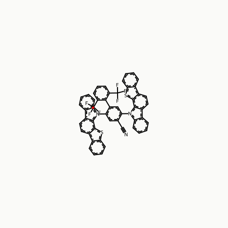 N#Cc1cc(-n2c3ccccc3c3ccc4c5ccccc5sc4c32)c(-c2c(C(F)(F)F)cccc2C(F)(F)F)cc1-n1c2ccccc2c2ccc3c4ccccc4sc3c21